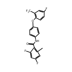 Cc1cc(F)cc(F)c1C(=O)Nc1ccc(Oc2ccc(F)cc2C(F)(F)F)cc1